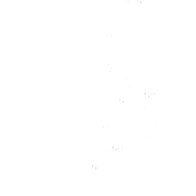 O=C(Nc1ccccn1)c1cccc2[nH]c(-c3ccc(OC4CCNCC4)cc3)nc12